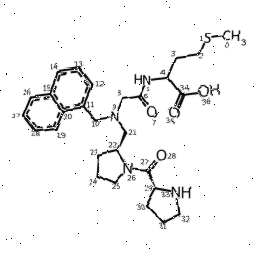 CSCCC(NC(=O)CN(Cc1cccc2ccccc12)C[C@@H]1CCCN1C(=O)[C@@H]1CCCN1)C(=O)O